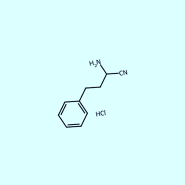 Cl.N#CC(N)CCc1ccccc1